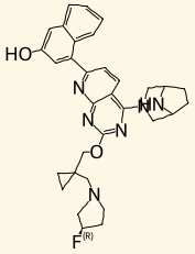 Oc1cc(-c2ccc3c(N4CC5CCC(C4)N5)nc(OCC4(CN5CC[C@@H](F)C5)CC4)nc3n2)c2ccccc2c1